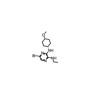 CCNc1ncc(Br)nc1N[C@H]1CC[C@H](OC)CC1